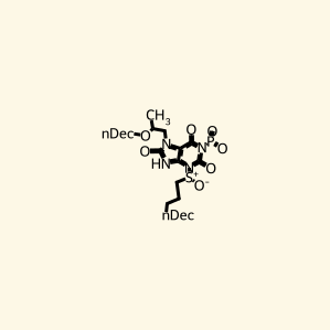 CCCCCCCCCCCCC[S+]([O-])n1c(=O)n(P(=O)=O)c(=O)c2c1[nH]c(=O)n2CC(C)OCCCCCCCCCC